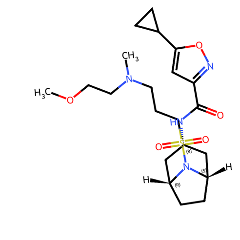 COCCN(C)CCCS(=O)(=O)N1[C@@H]2CC[C@H]1C[C@@H](NC(=O)c1cc(C3CC3)on1)C2